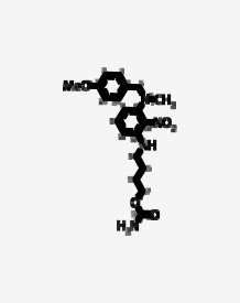 COc1ccc(CN(C)c2cccc(NCCCCOC(N)=O)c2[N+](=O)[O-])cc1